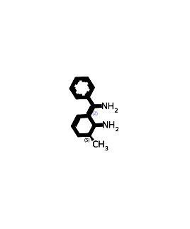 C[C@H]1CC=C/C(=C(/N)c2ccccc2)C1N